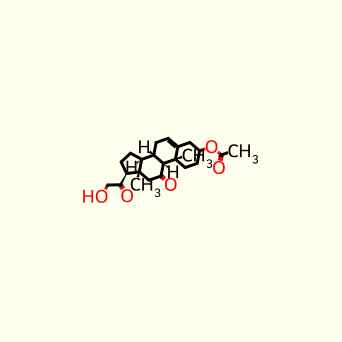 CC(=O)OC1CC[C@@]2(C)C(=CC[C@H]3[C@@H]4CC[C@H](C(=O)CO)[C@@]4(C)CC(=O)[C@@H]32)C1